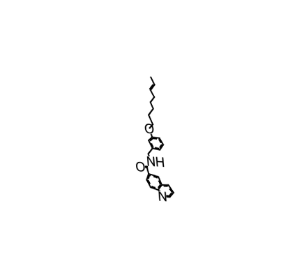 C/C=C/CCCCCOc1cccc(CNC(=O)c2ccc3ncccc3c2)c1